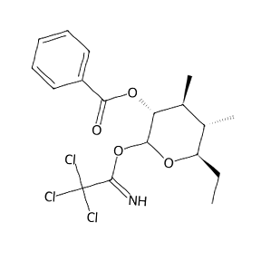 CC[C@H]1OC(OC(=N)C(Cl)(Cl)Cl)[C@H](OC(=O)c2ccccc2)[C@@H](C)[C@@H]1C